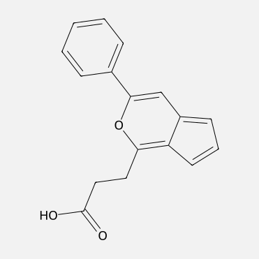 O=C(O)CCc1oc(-c2ccccc2)cc2cccc1-2